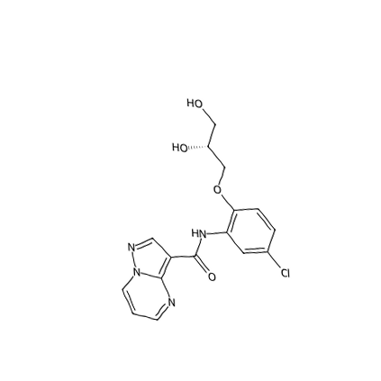 O=C(Nc1cc(Cl)ccc1OC[C@H](O)CO)c1cnn2cccnc12